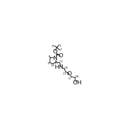 CC(C)(C)OC(=O)N1CCCC1CNCCOCCO